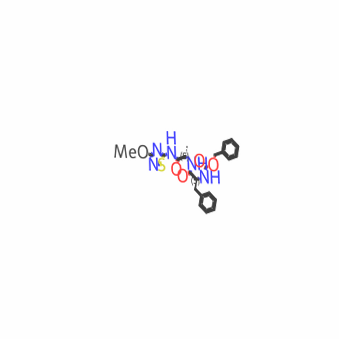 COc1nsc(NC(=O)[C@H](C)NC(=O)[C@H](Cc2ccccc2)NC(=O)OCc2ccccc2)n1